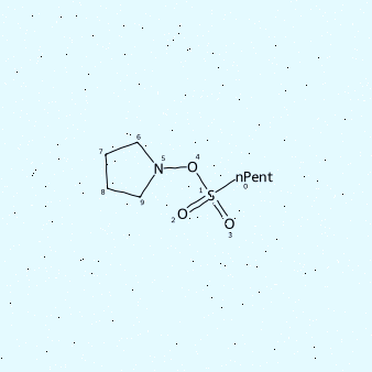 CCCCCS(=O)(=O)ON1CCCC1